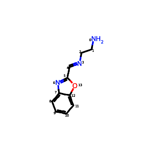 NCCN=Cc1nc2ccccc2o1